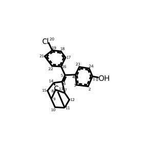 Oc1ccc(C(=C2C3CC4CC(C3)CC2C4)c2ccc(Cl)cc2)cc1